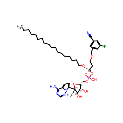 CCCCCCCCCCCCCCCCCCOC[C@H](CCOCc1cc(F)cc(C#N)c1)OP(=O)(O)OC[C@H]1O[C@@](C)(c2ccc3c(N)ncnn23)[C@H](O)[C@@H]1O